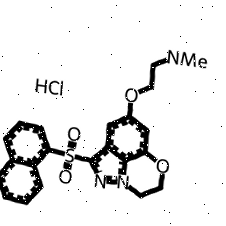 CNCCOc1cc2c3c(c1)c(S(=O)(=O)c1cccc4ccccc14)nn3CCO2.Cl